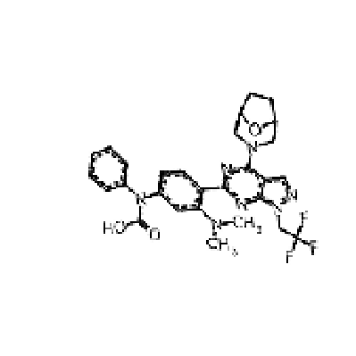 CN(C)c1cc(N(C(=O)O)c2ccccc2)ccc1-c1nc(N2CC3CCC(C2)O3)c2cnn(CC(F)(F)F)c2n1